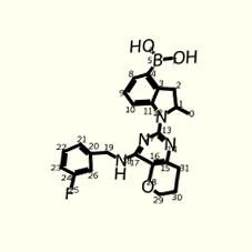 CC1Cc2c(B(O)O)cccc2N1c1nc2c(c(NCc3cccc(F)c3)n1)OCCC2